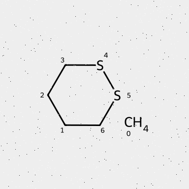 C.C1CCSSC1